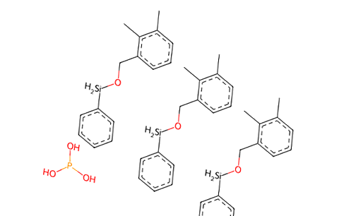 Cc1cccc(CO[SiH2]c2ccccc2)c1C.Cc1cccc(CO[SiH2]c2ccccc2)c1C.Cc1cccc(CO[SiH2]c2ccccc2)c1C.OP(O)O